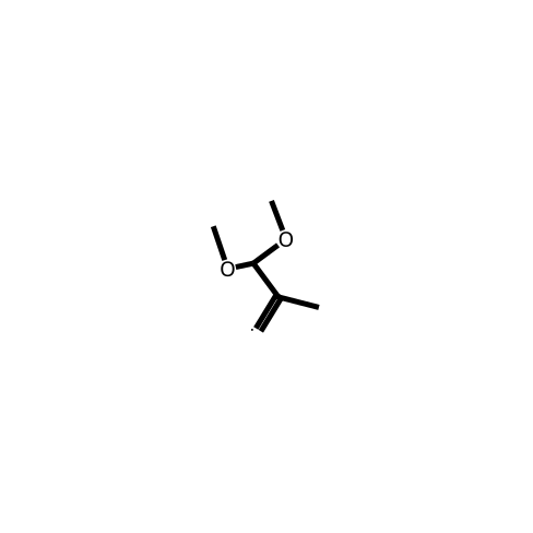 [CH]=C(C)C(OC)OC